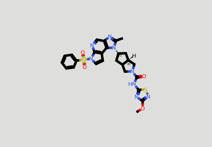 COc1nsc(NC(=O)N2CC3C[C@H](n4c(C)nc5cnc6c(ccn6S(=O)(=O)c6ccccc6)c54)C[C@H]3C2)n1